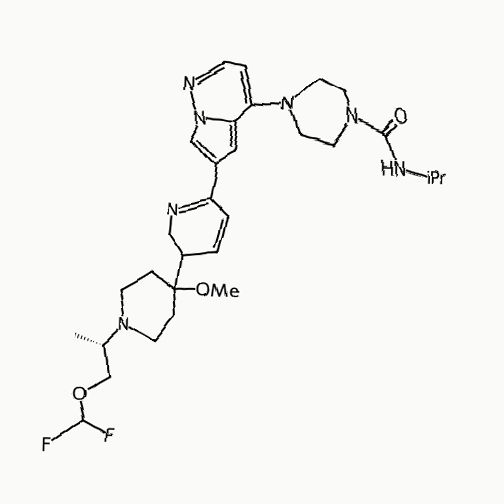 COC1(C2C=CC(c3cc4c(N5CCN(C(=O)NC(C)C)CC5)ccnn4c3)=NC2)CCN([C@@H](C)COC(F)F)CC1